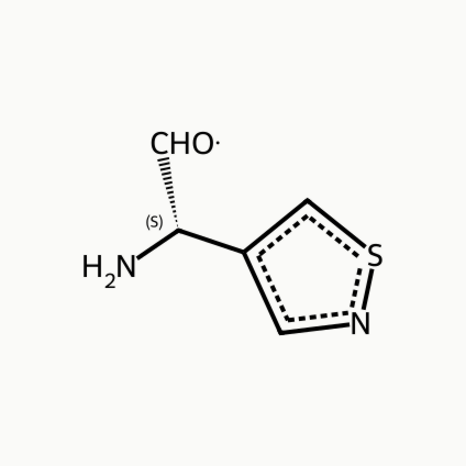 N[C@H]([C]=O)c1cnsc1